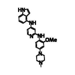 COc1cc(N2CCN(C)CC2)ccc1Nc1cc(Nc2cccc3[nH]ccc23)ccn1